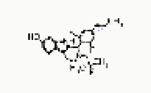 C/C=C/c1cc(F)c(C2c3[nH]c4cc(O)ccc4c3CCN2CC(C)(C)F)c(F)c1